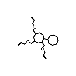 C=CCOCC1CCC(C2CCCCCCC2)C(COCC=C)CC(COCC=C)C1